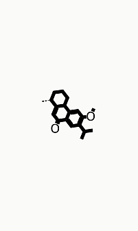 COc1cc2c(cc1C(C)C)C(=O)C=C1C2CCC[C@H]1C